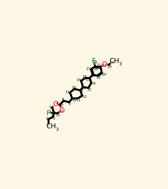 CCCC1(F)COC(CCC2CCC(C3CCC(c4ccc(OCC)c(F)c4)CC3)CC2)OC1